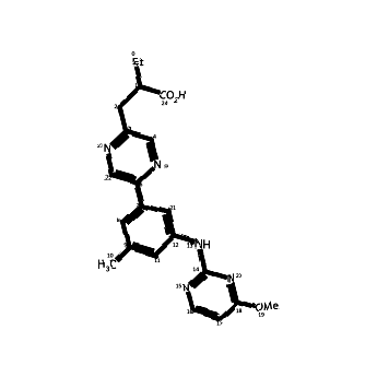 CCC(Cc1cnc(-c2cc(C)cc(Nc3nccc(OC)n3)c2)cn1)C(=O)O